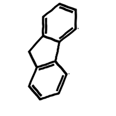 [c]1cccc2c1-c1[c]cccc1C2